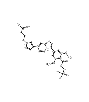 COc1cc(-c2cnc3cc(-c4cnn(CCCC(=O)O)c4)ccn23)cc(OC)c1C(=O)NCC(F)(F)F